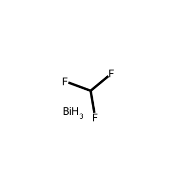 FC(F)F.[BiH3]